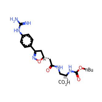 CCCCOC(=O)N[C@@H](CNC(=O)C[C@H]1CC(c2ccc(NC(=N)N)cc2)=NO1)C(=O)O